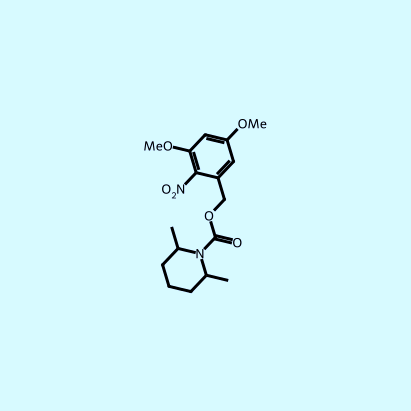 COc1cc(COC(=O)N2C(C)CCCC2C)c([N+](=O)[O-])c(OC)c1